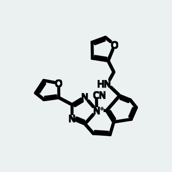 N#C[N+]12N=C(c3ccco3)N=C1C=Cc1cccc(NCc3ccco3)c12